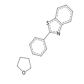 C1CCOC1.c1ccc(-c2nc3ccccc3s2)cc1